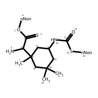 CCCCCCCCCOC(=S)C(N)C1(C)CC(NC(=O)SCCCCCCCCC)CC(C)(C)C1